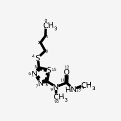 CCCCSc1nnc(N(C)C(=O)NC)s1